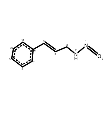 O=NNCC=Cc1ccccc1